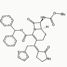 CC(C)(C)OC(=O)N[C@@H]1C(=O)N2C(C(=O)OC(c3ccccc3)c3ccccc3)=C(C(Cc3cccs3)=C3CCNC3=O)CS[C@H]12